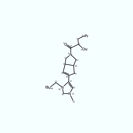 CC(C)CC(O)C(=O)N1CC2C=C(C3=CN(C)CN3CC(C)(C)C)CC2C1